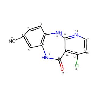 N#Cc1ccc2c(c1)NC(=O)c1c(Cl)ccnc1N2